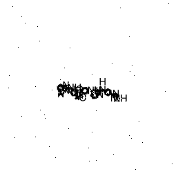 CN(C)c1cccc2nc(Nc3ccc4c(c3)N(C3(O)CCC(Nc5cccc6nc(Nc7ccc(-c8nc[nH]n8)cc7)nn56)CC3)C(=O)C4(C)C)nn12